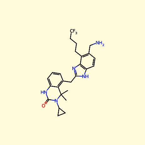 CC1(C)c2c(Cc3nc4c(CCCC(F)(F)F)c(CN)ccc4[nH]3)cccc2NC(=O)N1C1CC1